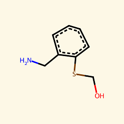 NCc1ccccc1SCO